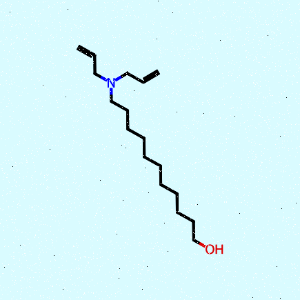 C=CCN(CC=C)CCCCCCCCCCCO